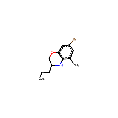 CC(=O)OCCC1COc2cc(Br)cc([N+](=O)[O-])c2N1